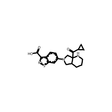 O=C(O)c1nsc2cc(N3CC4CCCNC4(C(=O)C4CC4)C3)ccc12